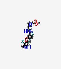 COC(=O)CCn1ccc(Cc2cnc(-c3cc(Oc4c(F)cc5[nH]ccc5c4F)ccc3F)[nH]2)n1